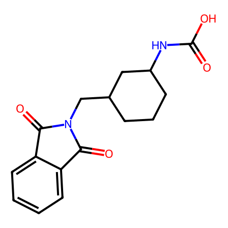 O=C(O)NC1CCCC(CN2C(=O)c3ccccc3C2=O)C1